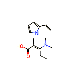 C=Cc1ccc[nH]1.CCC(=C(C)C(=O)O)N(C)C